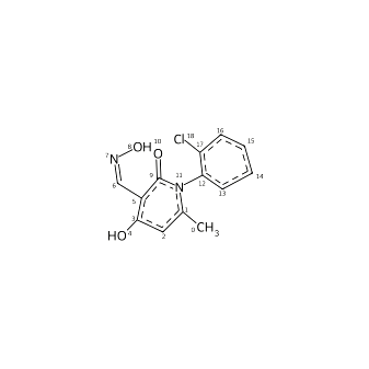 Cc1cc(O)c(/C=N\O)c(=O)n1-c1ccccc1Cl